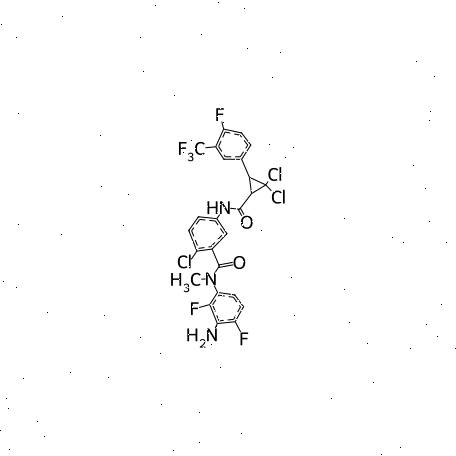 CN(C(=O)c1cc(NC(=O)C2C(c3ccc(F)c(C(F)(F)F)c3)C2(Cl)Cl)ccc1Cl)c1ccc(F)c(N)c1F